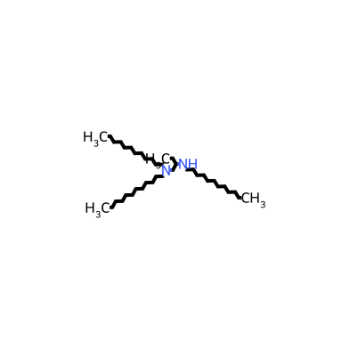 CCCCCCCCCCCCNC(CC)CN(CCCCCCCCCCCC)CCCCCCCCCCCC